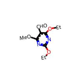 CCOc1nc(OC)c(C=O)c(OCC)n1